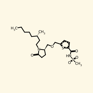 CCCCC[C@H](C)CCN1C(=O)CC[C@@H]1COCc1ccc(C(=O)NS(C)(=O)=O)s1